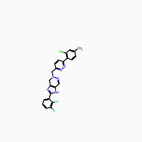 Cc1ccc(-c2ccc(CN3Cc4nc(-c5cccc(F)c5F)[nH]c4C=N3)nn2)c(Cl)c1